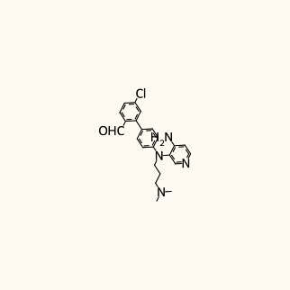 CN(C)CCCN(c1ccc(-c2cc(Cl)ccc2C=O)cc1)c1cnccc1N